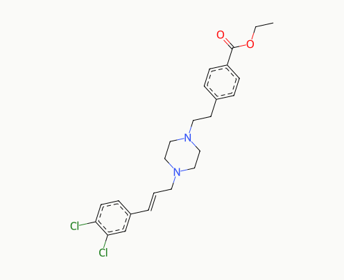 CCOC(=O)c1ccc(CCN2CCN(CC=Cc3ccc(Cl)c(Cl)c3)CC2)cc1